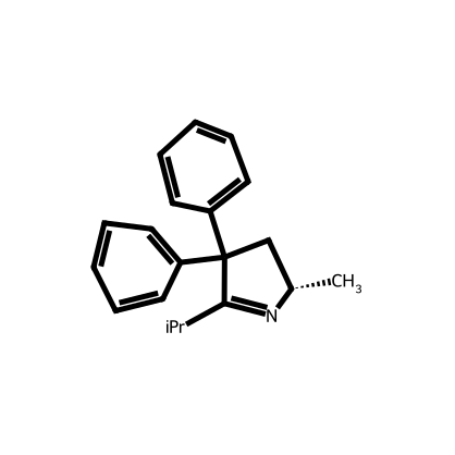 CC(C)C1=N[C@@H](C)CC1(c1ccccc1)c1ccccc1